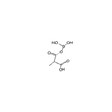 CC(C(=O)O)C(=O)OB(O)O